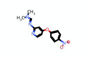 CN(C)C=Nc1cc(Oc2ccc([N+](=O)[O-])cc2)ccn1